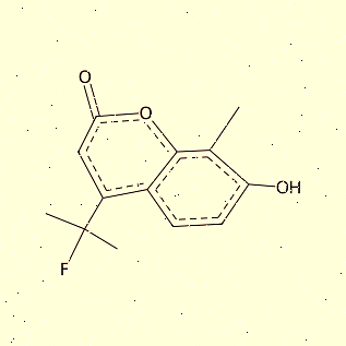 Cc1c(O)ccc2c(C(C)(C)F)cc(=O)oc12